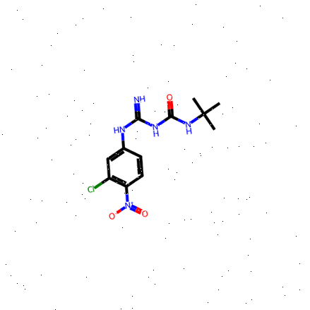 CC(C)(C)NC(=O)NC(=N)Nc1ccc([N+](=O)[O-])c(Cl)c1